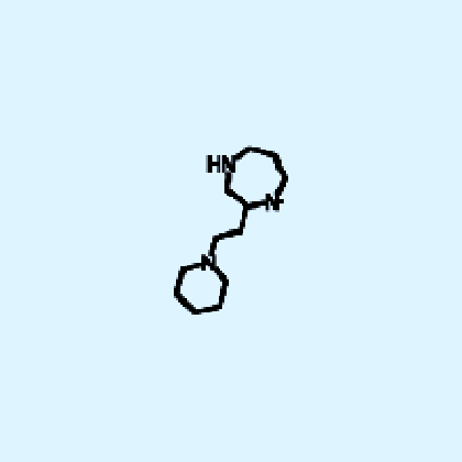 C1CCN(CCC2CNCCC[N]2)CC1